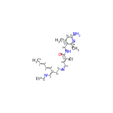 C/C=C/C=C/C(=C\N=C\CC)CC/N=C\C=C(/CC)C(=O)NCc1c(C)cc(N)nc1C